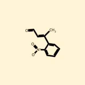 CC(=CC=O)c1ccccc1[N+](=O)[O-]